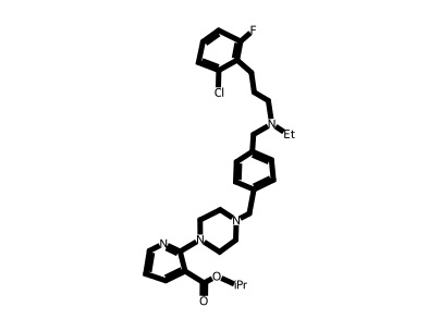 CCN(CCCc1c(F)cccc1Cl)Cc1ccc(CN2CCN(c3ncccc3C(=O)OC(C)C)CC2)cc1